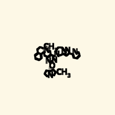 C[C@H]1CN2CCC[C@@]2(COc2nc3c(c(N4CCCn5nc(-c6ccccn6)cc5C4)n2)CN(C)[C@@]2(CCCc4ccccc42)C3)C1